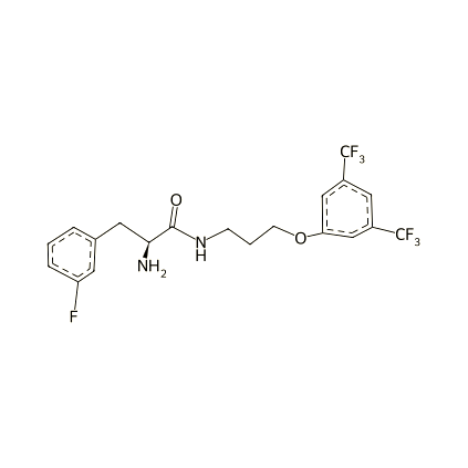 N[C@@H](Cc1cccc(F)c1)C(=O)NCCCOc1cc(C(F)(F)F)cc(C(F)(F)F)c1